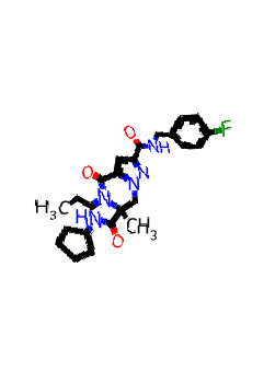 CCCN1C(=O)c2cc(C(=O)NCc3ccc(F)cc3)nn2CC1(C)C(=O)NC1CCCC1